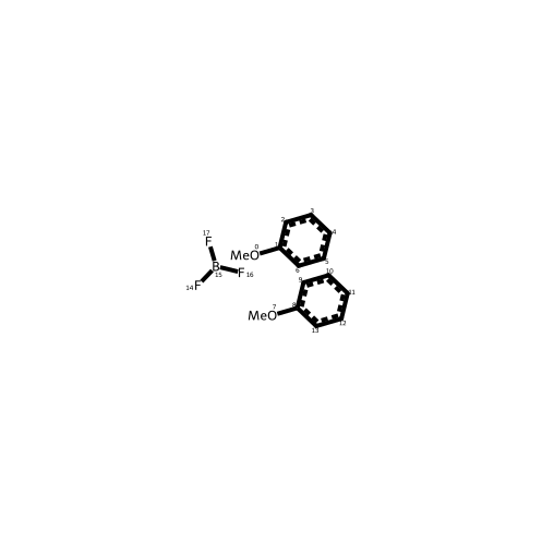 COc1ccccc1.COc1ccccc1.FB(F)F